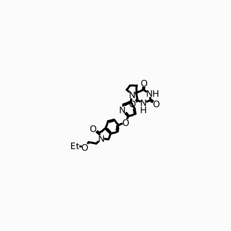 CCOCCN1Cc2cc(Oc3ccc(N4CCCC45C(=O)NC(=O)NC5=O)cn3)ccc2C1=O